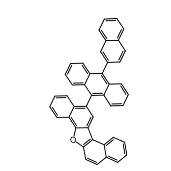 c1ccc2cc(-c3c4ccccc4c(-c4cc5c(oc6ccc7ccccc7c65)c5ccccc45)c4ccccc34)ccc2c1